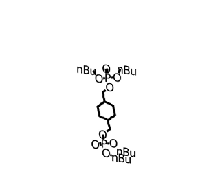 CCCCOP(=O)(OCCCC)OCC1CCC(COP(=O)(OCCCC)OCCCC)CC1